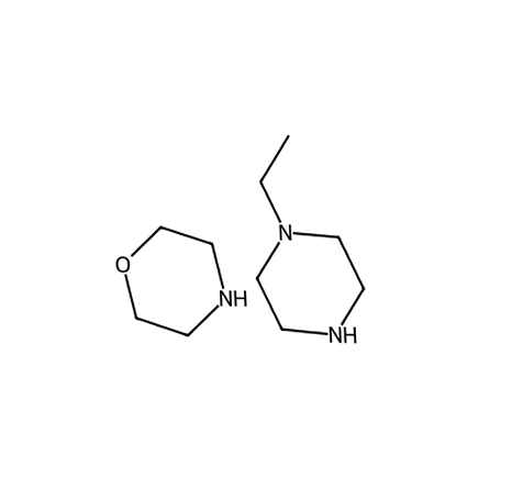 C1COCCN1.CCN1CCNCC1